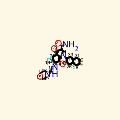 NC(=O)c1cn2c3c(c(NCCN4CCOCC4)c(F)cc3c1=O)Oc1cc3ccccc3cc1-2